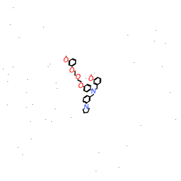 COc1cccc(CN(Cc2cccc(N3CCCC3)c2)c2ccc(OCCOCCOc3cccc(OC)c3)cc2)c1